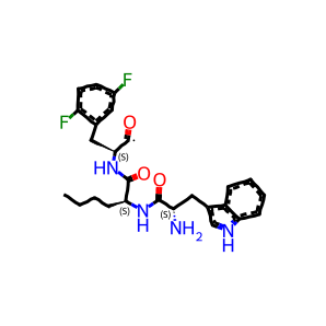 CCCC[C@H](NC(=O)[C@@H](N)Cc1c[nH]c2ccccc12)C(=O)N[C@H]([C]=O)Cc1cc(F)ccc1F